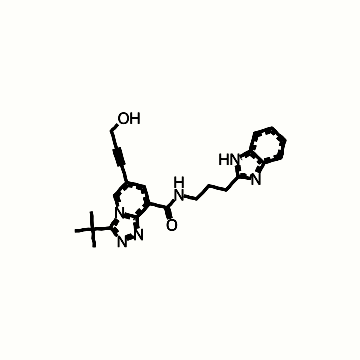 CC(C)(C)c1nnc2c(C(=O)NCCCc3nc4ccccc4[nH]3)cc(C#CCO)cn12